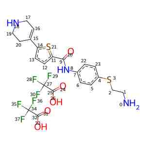 NCCSc1ccc(NC(=O)c2ccc(C3=CCNCC3)s2)cc1.O=C(O)C(F)(F)F.O=C(O)C(F)(F)F